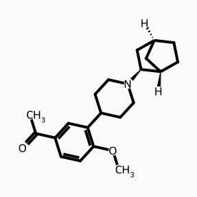 COc1ccc(C(C)=O)cc1C1CCN([C@H]2C[C@H]3CC[C@H]2C3)CC1